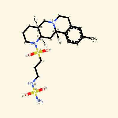 Cc1ccc2c(c1)CCN1C[C@@H]3CCCN(S(=O)(=O)CCCNS(N)(=O)=O)[C@@H]3C[C@@H]21